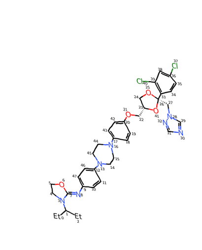 CCC(CC)N1CCOC1=Nc1ccc(N2CCN(c3ccc(OC[C@@H]4CO[C@@](Cn5cncn5)(c5ccc(Cl)cc5Cl)O4)cc3)CC2)cc1